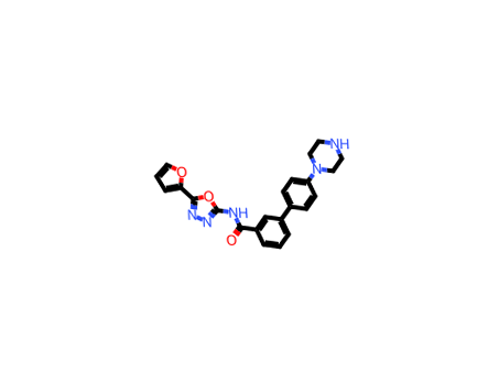 O=C(Nc1nnc(-c2ccco2)o1)c1cccc(-c2ccc(N3CCNCC3)cc2)c1